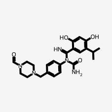 CC(C)c1cc(C(=N)N(C(N)=O)c2ccc(CN3CCN(C=O)CC3)cc2)c(O)cc1O